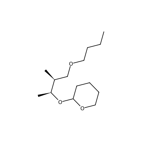 CCCCOC[C@H](C)[C@H](C)OC1CCCCO1